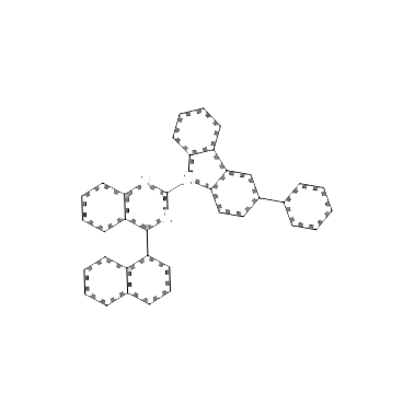 c1ccc(-c2ccc3c(c2)c2ccccc2n3-c2nc(-c3cccc4ccccc34)c3ccccc3n2)cc1